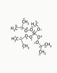 CO[Si](OOC(C)C)(OOC(C)C)OOC(C)C